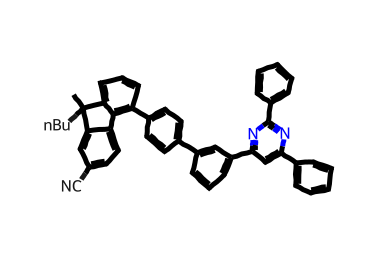 CCCCC1(C)c2cc(C#N)ccc2-c2c(-c3ccc(-c4cccc(-c5cc(-c6ccccc6)nc(-c6ccccc6)n5)c4)cc3)cccc21